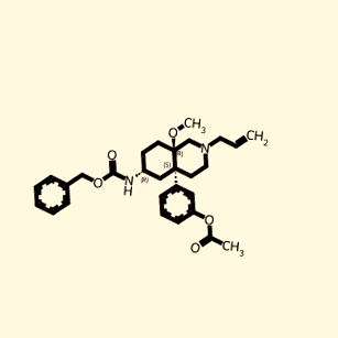 C=CCN1CC[C@@]2(c3cccc(OC(C)=O)c3)C[C@H](NC(=O)OCc3ccccc3)CC[C@]2(OC)C1